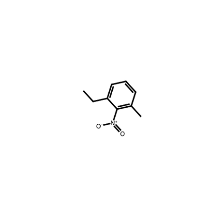 CCc1cccc(C)c1[N+](=O)[O-]